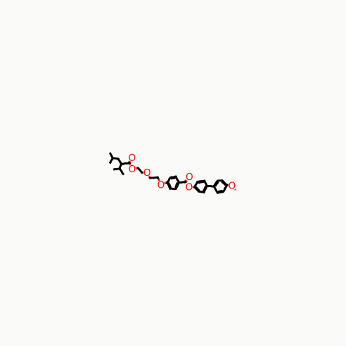 COc1ccc(-c2ccc(OC(=O)c3ccc(OCCOCCOC(=O)C(CC(C)C)C(C)C)cc3)cc2)cc1